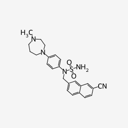 CN1CCCN(c2ccc(N(Cc3ccc4ccc(C#N)cc4c3)S(N)(=O)=O)cc2)CC1